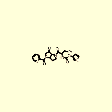 CC(C)CC(NC(=O)Oc1ccoc1)C(=O)N1CCC2C1C(=O)CN2C(=O)c1ccccn1